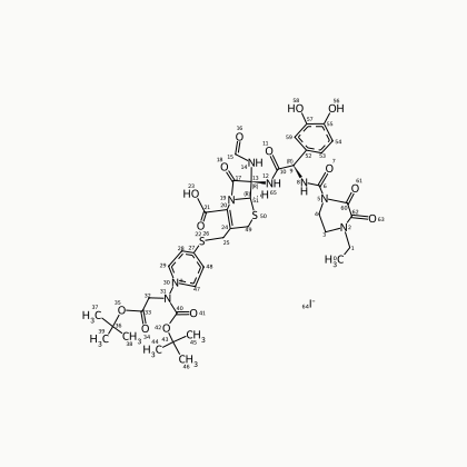 CCN1CCN(C(=O)N[C@@H](C(=O)N[C@]2(NC=O)C(=O)N3C(C(=O)O)=C(CSc4cc[n+](N(CC(=O)OC(C)(C)C)C(=O)OC(C)(C)C)cc4)CS[C@@H]32)c2ccc(O)c(O)c2)C(=O)C1=O.[I-]